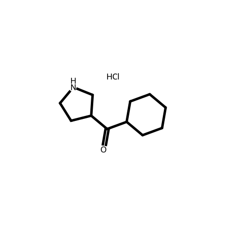 Cl.O=C(C1CCCCC1)C1CCNC1